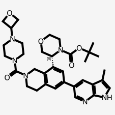 Cc1c[nH]c2ncc(-c3cc4c(c([C@@H]5COCCN5C(=O)OC(C)(C)C)c3)CN(C(=O)N3CCN(C5COC5)CC3)CC4)cc12